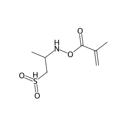 C=C(C)C(=O)ONC(C)C[SH](=O)=O